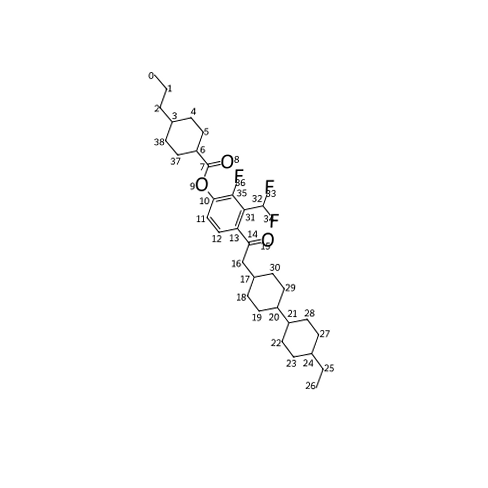 CCCC1CCC(C(=O)Oc2ccc(C(=O)CC3CCC(C4CCC(CC)CC4)CC3)c(C(F)F)c2F)CC1